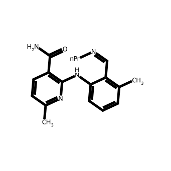 CCC/N=C\c1c(C)cccc1Nc1nc(C)ccc1C(N)=O